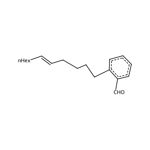 CCCCCCC=CCCCCc1ccccc1C=O